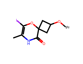 CC1=C(I)OC2(CC(OC(C)C)C2)C(=O)N1